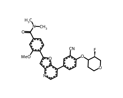 COc1cc(C(=O)N(C)C)ccc1-c1cc2nccc(-c3ccc(OC4CCOC[C@@H]4F)c(C#N)c3)c2o1